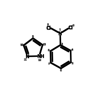 ClN(Cl)c1ccccc1.c1cn[nH]c1